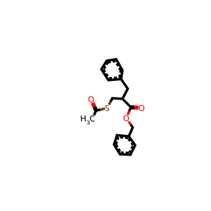 CC(=O)SCC(Cc1ccccc1)C(=O)OCc1ccccc1